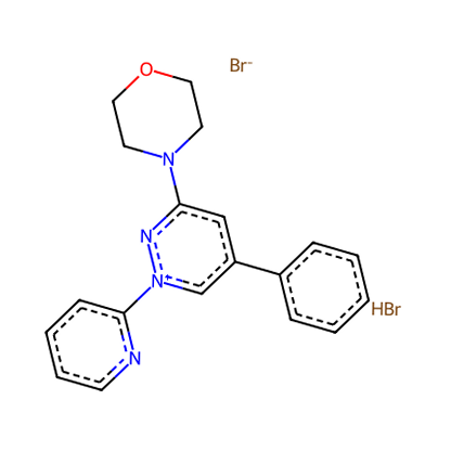 Br.[Br-].c1ccc(-c2cc(N3CCOCC3)n[n+](-c3ccccn3)c2)cc1